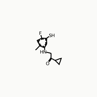 Cc1cc(F)c(S)cc1NCC(=O)C1CC1